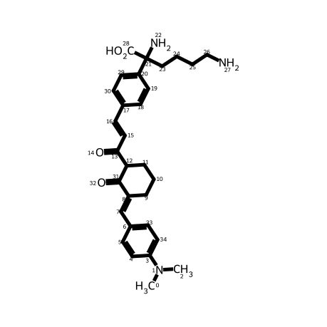 CN(C)c1ccc(C=C2CCCC(C(=O)C=Cc3ccc(C(N)(CCCCN)C(=O)O)cc3)C2=O)cc1